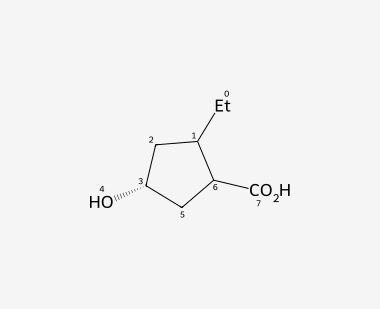 CCC1C[C@@H](O)CC1C(=O)O